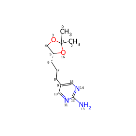 CC1(C)OC[C@@H](CCCc2cnc(N)nc2)O1